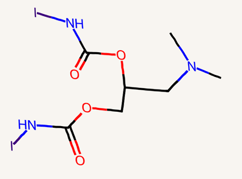 CN(C)CC(COC(=O)NI)OC(=O)NI